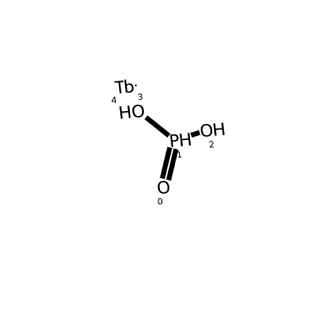 O=[PH](O)O.[Tb]